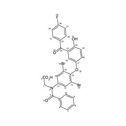 O=C(O)CN(C(=O)c1ccccc1)c1cc(Br)c(Oc2ccc(O)c(C(=O)c3ccc(F)cc3)c2)c(Br)c1